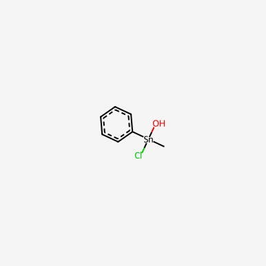 [CH3][Sn]([OH])([Cl])[c]1ccccc1